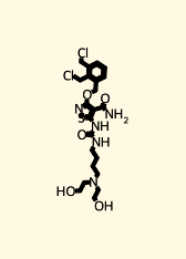 NC(=O)c1c(OCc2cccc(CCl)c2CCl)nsc1NC(=O)NCCCCN(CCO)CCO